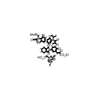 CC1COc2ccccc2N1C(=O)C(Cl)Cl.CCOC(=O)/C(Cl)=C/c1cc(N2C(=O)C3=C(CCCC3)C2=O)ccc1Cl.CCc1cccc(CC)c1N(COC)C(=O)CCl.C[S+](C)C.O=C(O)CNCP(=O)([O-])O